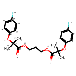 CC(C)(Oc1ccc(F)cc1)C(=O)OCCCOC(=O)C(C)(C)Oc1ccc(F)cc1